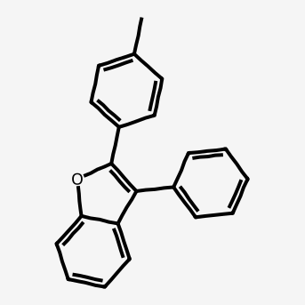 Cc1ccc(-c2oc3ccccc3c2-c2ccccc2)cc1